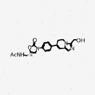 CC(=O)NC[C@H]1CN(c2ccc(C3=Cc4cnc(CO)n4CC3)cc2)C(=O)O1